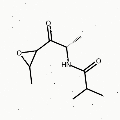 CC(C)C(=O)N[C@@H](C)C(=O)C1OC1C